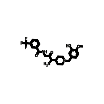 COc1ccc(CN2CCC(C(N)C(=O)CNC(=O)c3cccc(C(F)(F)F)c3)CC2)cc1O